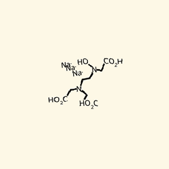 O=C(O)CN(O)CCN(CC(=O)O)CC(=O)O.[Na].[Na].[Na]